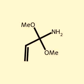 C=CC(N)(OC)OC